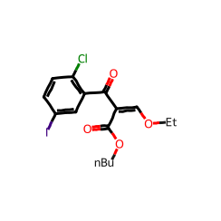 CCCCOC(=O)/C(=C\OCC)C(=O)c1cc(I)ccc1Cl